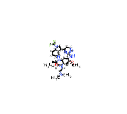 C=CC(=O)Nc1cc(Nc2nccc(-c3cn(C(F)F)c4ccccc34)n2)c(OC)cc1N(C)CCN(C)C